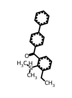 CCc1cccc(C(=O)c2ccc(-c3ccccc3)cc2)c1[SiH](C)C